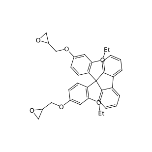 CCOc1cc(OCC2CO2)ccc1C1(c2ccc(OCC3CO3)cc2OCC)c2ccccc2-c2ccccc21